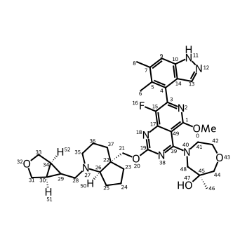 COc1nc(-c2c(C)c(C)cc3[nH]ncc23)c(F)c2nc(OC[C@]34CCC[C@H]3N(CC3[C@H]5COC[C@@H]35)CCC4)nc(N3CCOC[C@@](C)(O)C3)c12